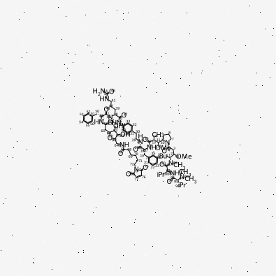 CCC(C)C(C(CC(=O)N1CCCC1C(OC)C(C)C(=O)N[C@@H](Cc1ccccc1)C(=O)NCCc1ccc(NC(=O)C(CCCNC(N)=O)NC(=O)[C@@H](Cc2ccccc2)NC(=O)C[C@@H]2O[C@H](CNC(=O)CCCCCN3C(=O)C=CC3=O)C(O)C2O)cc1)OC)N(C)C(=O)[C@@H](NC(=O)C(C(C)C)N(C)C)C(C)C